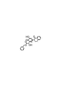 O=C(OCc1ccccc1)C(O)c1nn(C2CCc3ccccc3C2=O)cc(O)c1=O